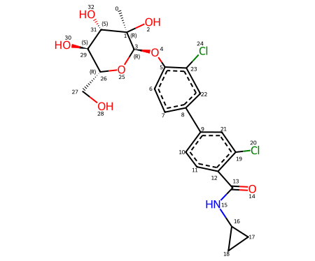 C[C@]1(O)[C@@H](Oc2ccc(-c3ccc(C(=O)NC4CC4)c(Cl)c3)cc2Cl)O[C@H](CO)[C@@H](O)[C@@H]1O